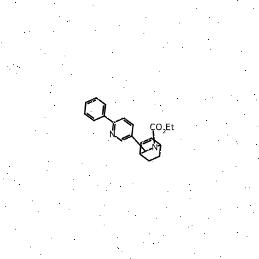 CCOC(=O)N1C2C=CC(CC2)C1c1ccc(-c2ccccc2)nc1